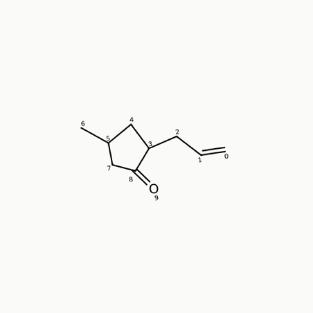 C=CCC1CC(C)CC1=O